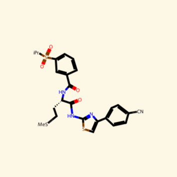 CSCC[C@H](NC(=O)c1cccc(S(=O)(=O)C(C)C)c1)C(=O)Nc1nc(-c2ccc(C#N)cc2)cs1